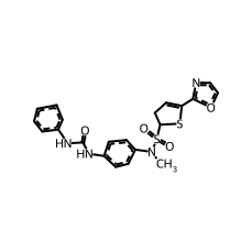 CN(c1ccc(NC(=O)Nc2ccccc2)cc1)S(=O)(=O)C1CC=C(c2ncco2)S1